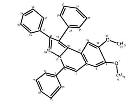 COc1cc2cc(-c3ccccc3)n3nc(-c4ccccc4)c(-c4ccccc4)c3c2cc1OC